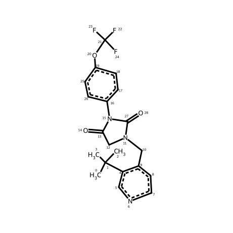 CC(C)(C)c1cnccc1CN1CC(=O)N(c2ccc(OC(F)(F)F)cc2)C1=O